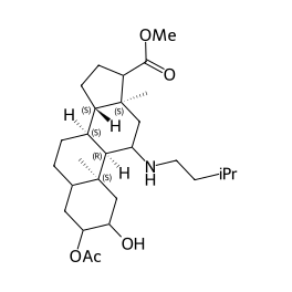 COC(=O)C1CC[C@H]2[C@@H]3CCC4CC(OC(C)=O)C(O)C[C@]4(C)[C@@H]3C(NCCC(C)C)C[C@]12C